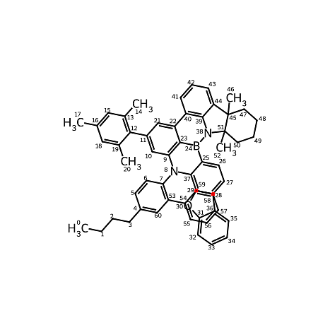 CCCCc1ccc(N2c3cc(-c4c(C)cc(C)cc4C)cc4c3B(c3ccc5c(oc6ccccc65)c32)N2c3c-4cccc3C3(C)CCCCC23C)c(-c2ccccc2)c1